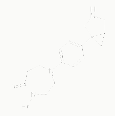 CCN1CCN(c2ccc(C34CNCC3C4)cc2)CCC1=O